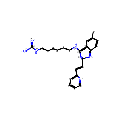 Cc1ccc2nc(C=Cc3ccccn3)nc(NCCCCCCNC(=N)N)c2c1